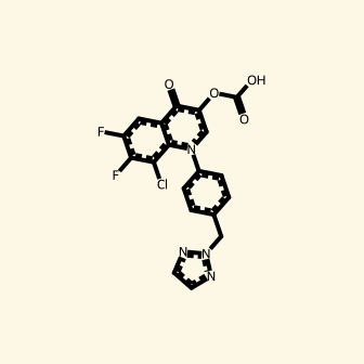 O=C(O)Oc1cn(-c2ccc(Cn3nccn3)cc2)c2c(Cl)c(F)c(F)cc2c1=O